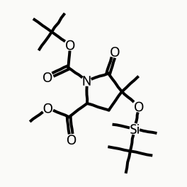 COC(=O)C1CC(C)(O[Si](C)(C)C(C)(C)C)C(=O)N1C(=O)OC(C)(C)C